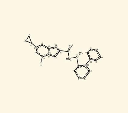 O=C(N[S+]([O-])c1ccccc1-c1ccccc1)c1cc2c(F)cc(C3CC3)cc2o1